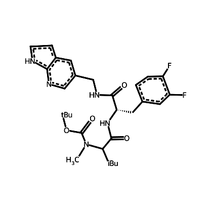 CCC(C)C(C(=O)N[C@@H](Cc1ccc(F)c(F)c1)C(=O)NCc1cnc2[nH]ccc2c1)N(C)C(=O)OC(C)(C)C